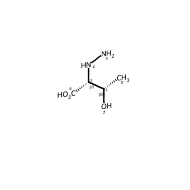 C[C@H](O)[C@@H](NN)C(=O)O